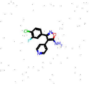 Nc1onc(-c2ccc(Cl)c(F)c2)c1-c1ccncc1